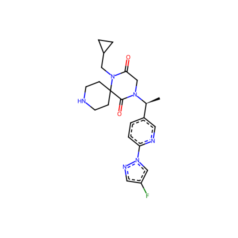 C[C@@H](c1ccc(-n2cc(F)cn2)nc1)N1CC(=O)N(CC2CC2)C2(CCNCC2)C1=O